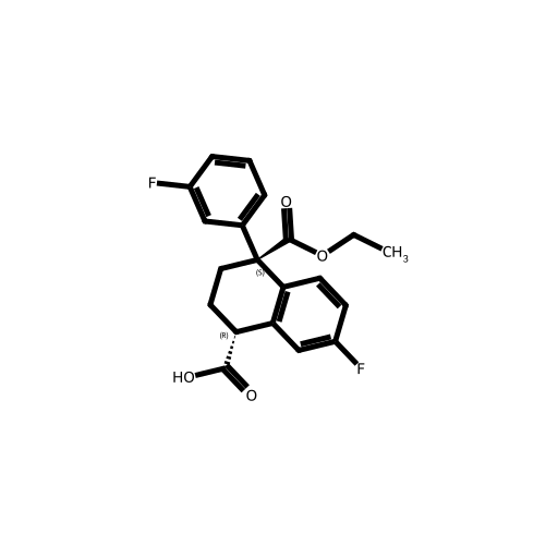 CCOC(=O)[C@]1(c2cccc(F)c2)CC[C@@H](C(=O)O)c2cc(F)ccc21